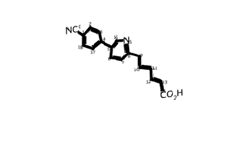 N#Cc1ccc(-c2ccc(C/C=C/C=C/C(=O)O)nc2)cc1